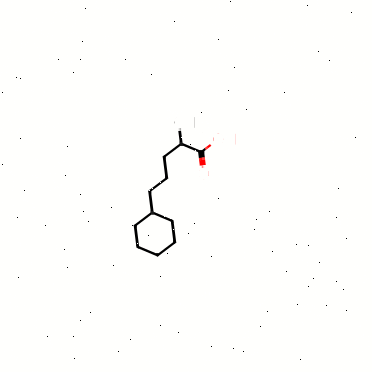 CC(CCCC1[CH]CCCC1)C(=O)O